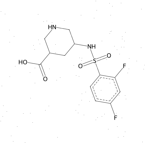 O=C(O)C1CNCC(NS(=O)(=O)c2ccc(F)cc2F)C1